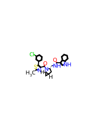 Cc1nc(C(=O)N2[C@H](CNC(=O)c3c[nH]c4ccccc34)C[C@@H]3C[C@@H]32)c(-c2cccc(Cl)c2)s1